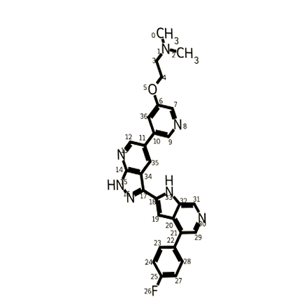 CN(C)CCOc1cncc(-c2cnc3[nH]nc(-c4cc5c(-c6ccc(F)cc6)cncc5[nH]4)c3c2)c1